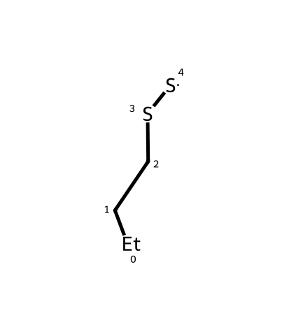 CCCCS[S]